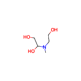 CN(CCO)C(O)CO